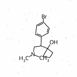 CN(C)CC(c1ccc(Br)cc1)C1(O)CCC1